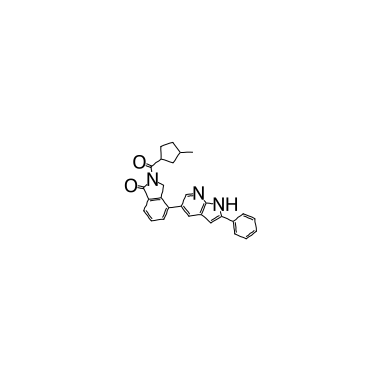 CC1CCC(C(=O)N2Cc3c(cccc3-c3cnc4[nH]c(-c5ccccc5)cc4c3)C2=O)C1